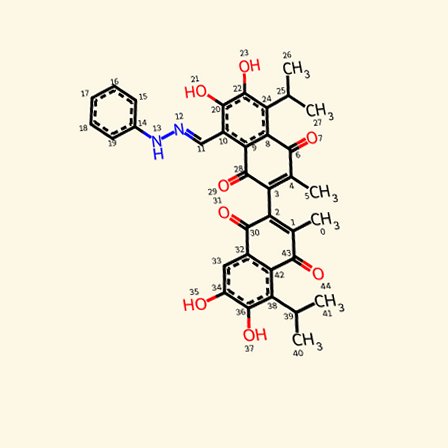 CC1=C(C2=C(C)C(=O)c3c(c(/C=N/Nc4ccccc4)c(O)c(O)c3C(C)C)C2=O)C(=O)c2cc(O)c(O)c(C(C)C)c2C1=O